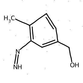 Cc1ccc(CO)cc1N=N